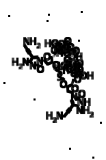 NCC#CC1=CN([C@H]2CC(OCSSCOC3C[C@H](n4cc(C#CCN)c(N)nc4=O)O[C@@H]3COP(=O)(O)OP(=O)(O)OP(=O)(O)O)[C@@H](COP(=O)(O)OP(=O)(O)OP(=O)(O)O)O2)C(=O)NC1N